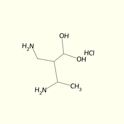 CC(N)C(CN)C(O)O.Cl